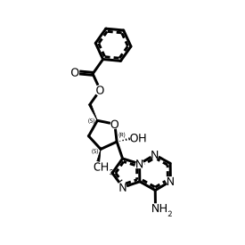 C[C@H]1C[C@@H](COC(=O)c2ccccc2)O[C@@]1(O)c1cnc2c(N)ncnn12